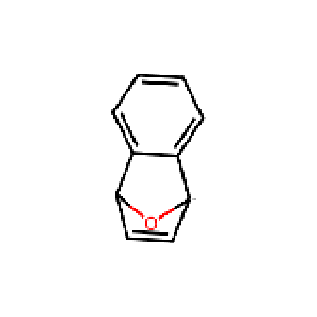 C1=CC2O[C]1c1ccccc12